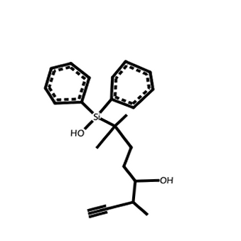 C#CC(C)C(O)CCC(C)(C)[Si](O)(c1ccccc1)c1ccccc1